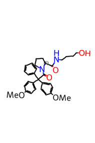 COc1ccc(C(C(=O)N2CCC[C@H]2C(=O)NCCCCO)(c2ccccc2)c2ccc(OC)cc2)cc1